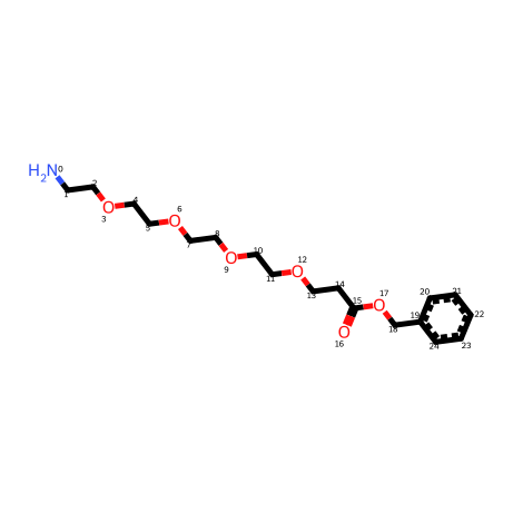 NCCOCCOCCOCCOCCC(=O)OCc1ccccc1